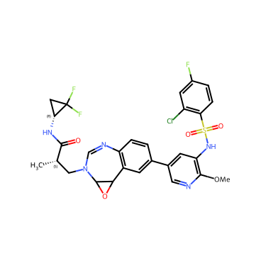 COc1ncc(-c2ccc3c(c2)C2OC2N(C[C@H](C)C(=O)N[C@@H]2CC2(F)F)C=N3)cc1NS(=O)(=O)c1ccc(F)cc1Cl